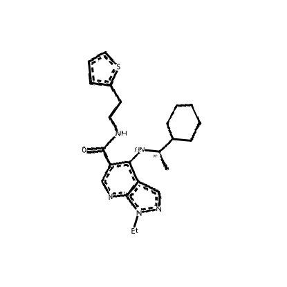 CCn1ncc2c(N[C@H](C)C3CCCCC3)c(C(=O)NCCc3cccs3)cnc21